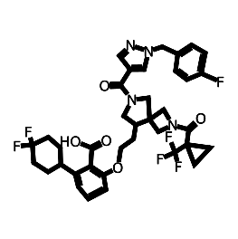 O=C(O)c1c(OCCC2CN(C(=O)c3cnn(Cc4ccc(F)cc4)c3)CC23CN(C(=O)C2(C(F)(F)F)CC2)C3)cccc1C1CCC(F)(F)CC1